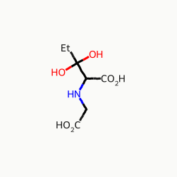 CCC(O)(O)C(NCC(=O)O)C(=O)O